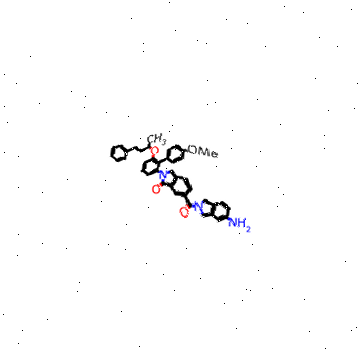 COc1ccc(-c2c(OC(C)CCc3ccccc3)cccc2N2Cc3ccc(C(=O)N4Cc5ccc(N)cc5C4)cc3C2=O)cc1